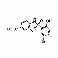 CCOC(=O)c1ccc(NS(=O)(=O)c2cc(Br)c(C)cc2O)c(C)c1